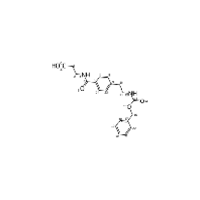 O=C(O)CCNC(=O)c1ccc(CCNC(=O)OCc2ccccc2)cc1